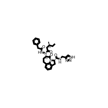 CC[C@H](C)CC(=O)N(NC(=O)Cc1ccccc1)[C@H]1CCc2cccc3c2N(C1=O)[C@H](C(=O)NCc1c[nH]nn1)C3